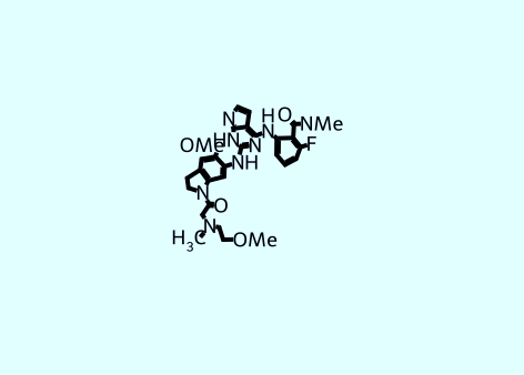 CNC(=O)c1c(F)cccc1Nc1nc(Nc2cc3c(cc2OC)CCN3C(=O)CN(C)CCOC)[nH]c2nccc1-2